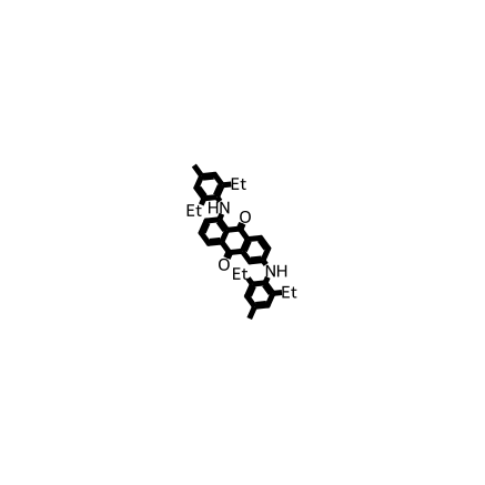 CCc1cc(C)cc(CC)c1Nc1ccc2c(c1)C(=O)c1cccc(Nc3c(CC)cc(C)cc3CC)c1C2=O